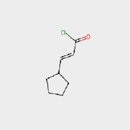 O=C(Cl)C=CC1CCCC1